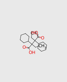 CCC(C(=O)O)(C1CCCCC1)C(CC)(C(=O)O)C1CCCCC1